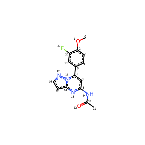 COc1ccc(-c2cc(NC(C)=O)nc3ccnn23)cc1F